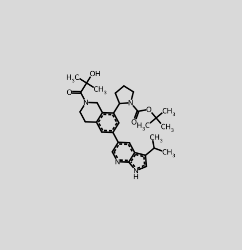 CC(C)c1c[nH]c2ncc(-c3cc4c(c(C5CCCN5C(=O)OC(C)(C)C)c3)CN(C(=O)C(C)(C)O)CC4)cc12